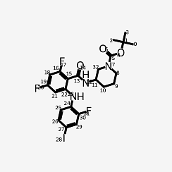 CC(C)(C)OC(=O)N1CCCC(NC(=O)c2c(F)cc(F)cc2Nc2ccc(I)cc2F)C1